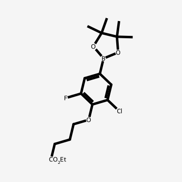 CCOC(=O)CCCOc1c(F)cc(B2OC(C)(C)C(C)(C)O2)cc1Cl